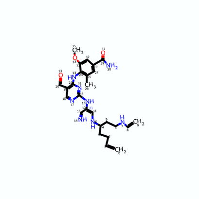 C=CCCC(CCNC=C)N/C=C(\C=N)Nc1ncc(C=O)c(Nc2c(C)cc(C(N)=O)cc2OC)n1